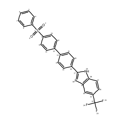 O=S(=O)(c1ccccc1)c1ccc(-c2ccc(-c3nc4cc(C(F)(F)F)ccc4[nH]3)cc2)cc1